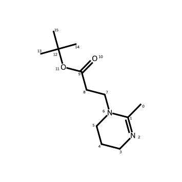 CC1=NCCCN1CCC(=O)OC(C)(C)C